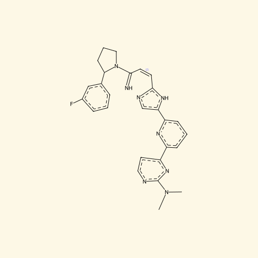 CN(C)c1nccc(-c2cccc(-c3cnc(/C=C\C(=N)N4CCCC4c4cccc(F)c4)[nH]3)n2)n1